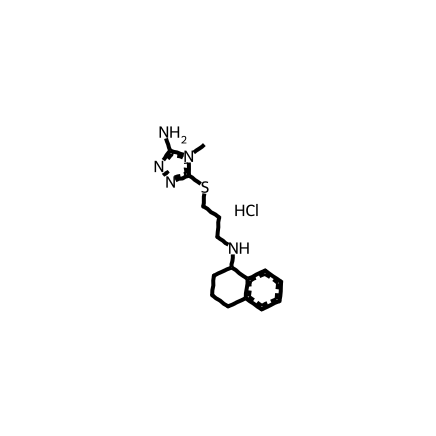 Cl.Cn1c(N)nnc1SCCCNC1CCCc2ccccc21